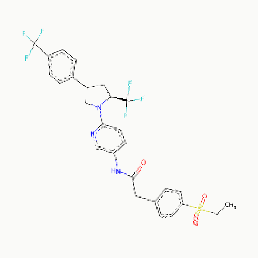 CCS(=O)(=O)c1ccc(CC(=O)Nc2ccc(N3CC(c4ccc(C(F)(F)F)cc4)C[C@H]3C(F)(F)F)nc2)cc1